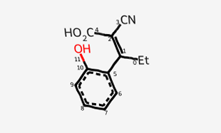 CCC(=C(C#N)C(=O)O)c1ccccc1O